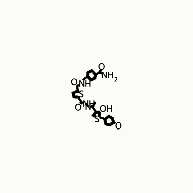 COc1ccc(-c2scc(/C(C)=N/NC(=O)c3ccc(C(=O)NCc4ccc(C(N)=O)cc4)s3)c2O)cc1